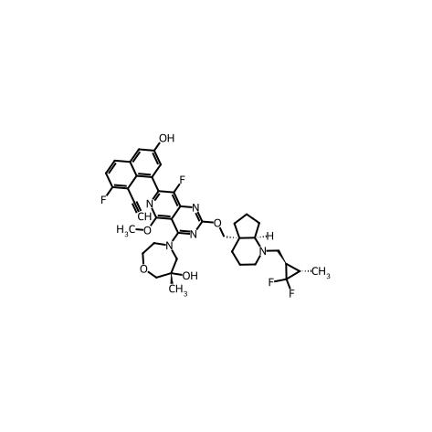 C#Cc1c(F)ccc2cc(O)cc(-c3nc(OC)c4c(N5CCOC[C@@](C)(O)C5)nc(OC[C@]56CCC[C@H]5N(C[C@H]5[C@H](C)C5(F)F)CCC6)nc4c3F)c12